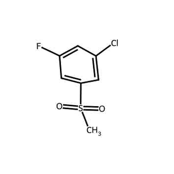 CS(=O)(=O)c1cc(F)cc(Cl)c1